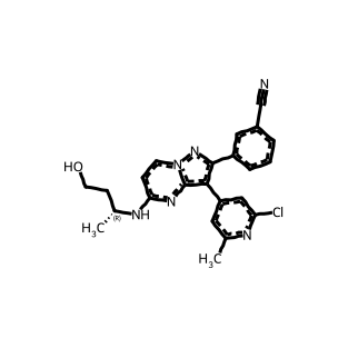 Cc1cc(-c2c(-c3cccc(C#N)c3)nn3ccc(N[C@H](C)CCO)nc23)cc(Cl)n1